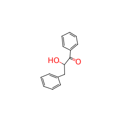 O=C(c1ccccc1)C(O)Cc1ccccc1